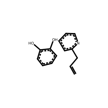 C=CCc1ccccn1.Oc1ccccc1O